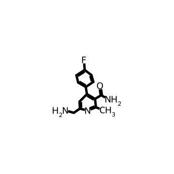 Cc1nc(CN)cc(-c2ccc(F)cc2)c1C(N)=O